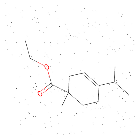 CCOC(=O)C1(C)CC=C(C(C)C)CC1